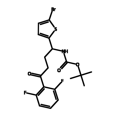 CC(C)(C)OC(=O)NC(CCC(=O)c1c(F)cccc1F)c1ccc(Br)s1